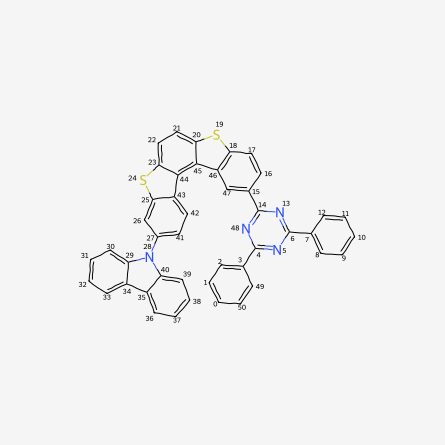 c1ccc(-c2nc(-c3ccccc3)nc(-c3ccc4sc5ccc6sc7cc(-n8c9ccccc9c9ccccc98)ccc7c6c5c4c3)n2)cc1